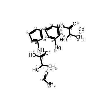 CC(O)C(=O)O.CC(O)C(=O)O.NC=O.Nc1ccccc1.[Cd].[Hg][c]1ccccc1